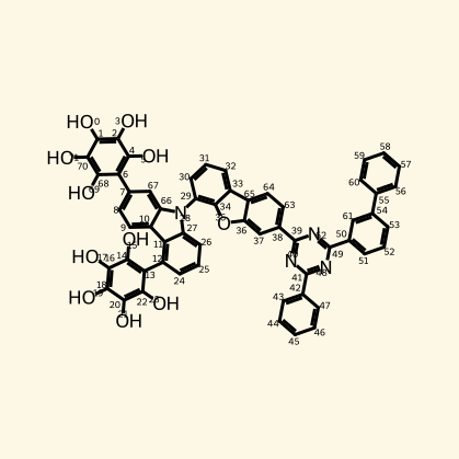 Oc1c(O)c(O)c(-c2ccc3c4c(-c5c(O)c(O)c(O)c(O)c5O)cccc4n(-c4cccc5c4oc4cc(-c6nc(-c7ccccc7)nc(-c7cccc(-c8ccccc8)c7)n6)ccc45)c3c2)c(O)c1O